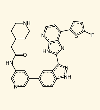 O=C(CC1CCNCC1)Nc1cncc(-c2ccc3[nH]nc(-c4nc5c(-c6ccc(F)s6)ccnc5[nH]4)c3c2)c1